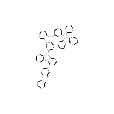 c1ccc([Si](c2ccccc2)(c2ccccc2)c2cccc(-n3c4ccccc4c4cc(-n5c6ccccc6c6c(-c7ccc8c(c7)oc7ccccc78)cccc65)ccc43)c2)cc1